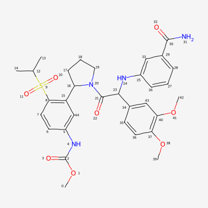 COC(=O)Nc1ccc(S(=O)(=O)C(C)C)c(C2CCCN2C(=O)C(Nc2cccc(C(N)=O)c2)c2ccc(OC)c(OC)c2)c1